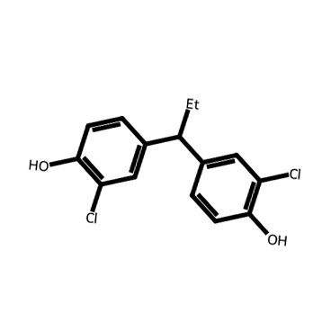 CCC(c1ccc(O)c(Cl)c1)c1ccc(O)c(Cl)c1